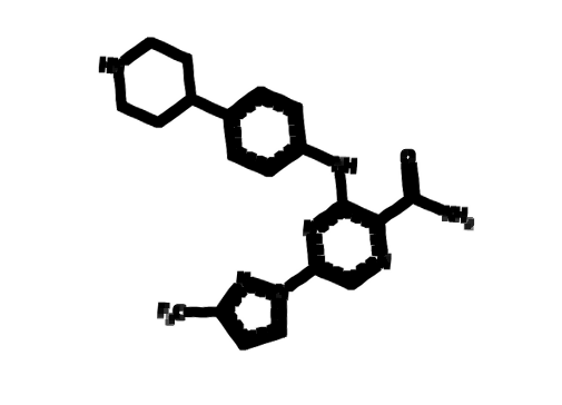 NC(=O)c1ncc(-n2ccc(C(F)(F)F)n2)nc1Nc1ccc(C2CCNCC2)cc1